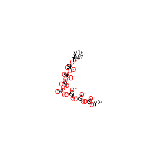 O=[Si]([O-])[O-].O=[Si]([O-])[O-].O=[Si]([O-])[O-].O=[Si]([O-])[O-].O=[Si]([O-])[O-].O=[Si]([O-])[O-].O=[Si]([O-])[O-].[Ti+4].[Ti+4].[Y+3].[Y+3]